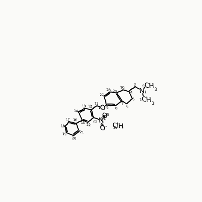 CN(C)CC1CCc2cc(OCc3ccc(-c4ccccc4)cc3[N+](=O)[O-])ccc2C1.Cl